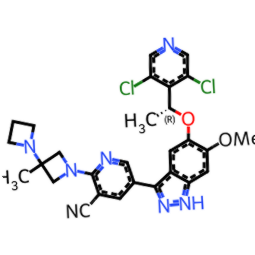 COc1cc2[nH]nc(-c3cnc(N4CC(C)(N5CCC5)C4)c(C#N)c3)c2cc1O[C@H](C)c1c(Cl)cncc1Cl